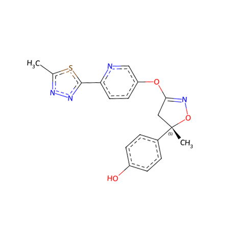 Cc1nnc(-c2ccc(OC3=NO[C@](C)(c4ccc(O)cc4)C3)cn2)s1